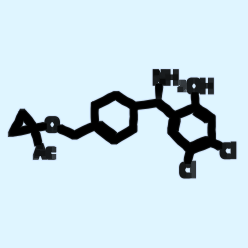 CC(=O)C1(OCC2=CCC([C@@H](N)c3cc(Cl)c(Cl)cc3O)CC2)CC1